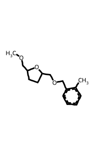 COCC1CCC(COCc2ccccc2C)O1